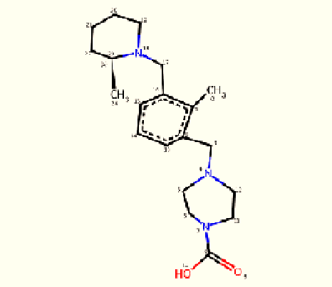 Cc1c(CN2CCN(C(=O)O)CC2)cccc1CN1CCCC[C@@H]1C